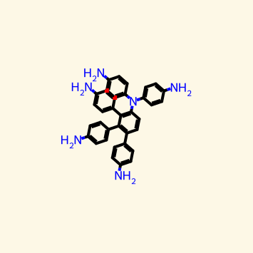 Nc1ccc(-c2ccc(N(c3ccc(N)cc3)c3ccc(N)cc3)c(-c3ccc(N)cc3)c2-c2ccc(N)cc2)cc1